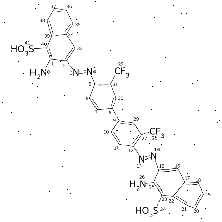 Nc1c(/N=N/c2ccc(-c3ccc(/N=N/c4cc5ccccc5c(S(=O)(=O)O)c4N)c(C(F)(F)F)c3)cc2C(F)(F)F)cc2ccccc2c1S(=O)(=O)O